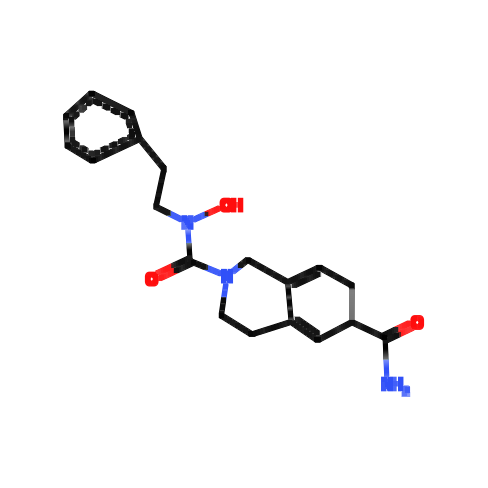 NC(=O)C1C=C2CCN(C(=O)N(O)CCc3ccccc3)CC2=CC1